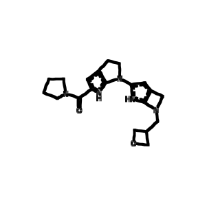 O=C(c1cc2c([nH]1)N(c1cc3c([nH]1)N(CC1COC1)C3)CC2)N1CCCC1